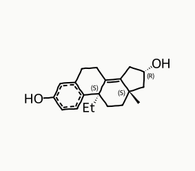 CC[C@@]12CC[C@@]3(C)C[C@@H](O)CC3=C1CCc1cc(O)ccc12